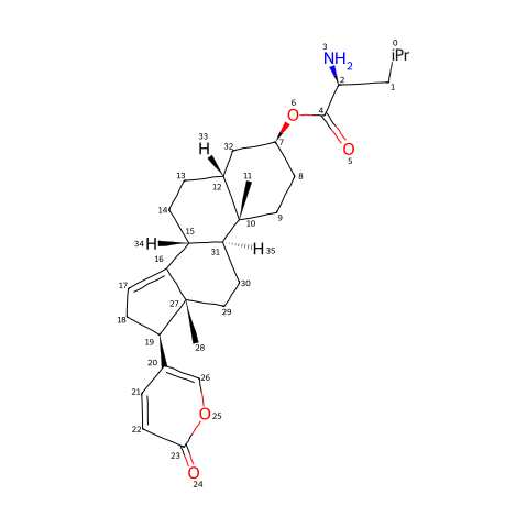 CC(C)C[C@H](N)C(=O)O[C@H]1CC[C@@]2(C)[C@H](CC[C@H]3C4=CC[C@H](c5ccc(=O)oc5)[C@@]4(C)CC[C@@H]32)C1